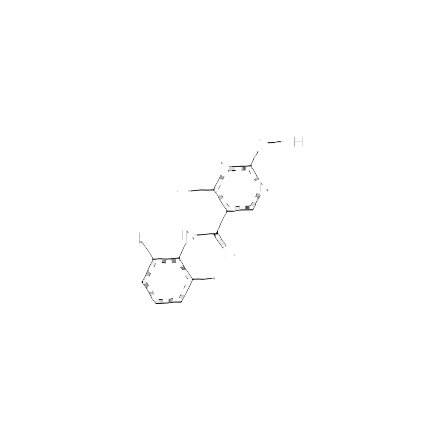 CSc1ncc(C(=O)Nc2c(Cl)cccc2Cl)c(Cl)n1